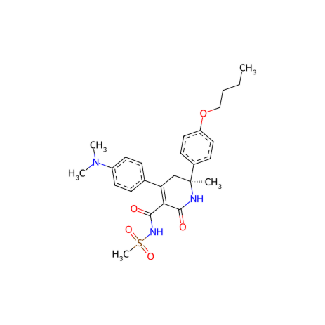 CCCCOc1ccc([C@]2(C)CC(c3ccc(N(C)C)cc3)=C(C(=O)NS(C)(=O)=O)C(=O)N2)cc1